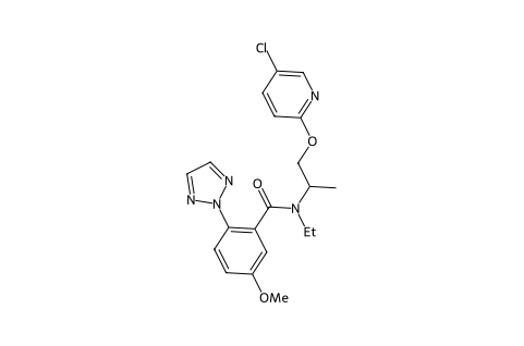 CCN(C(=O)c1cc(OC)ccc1-n1nccn1)C(C)COc1ccc(Cl)cn1